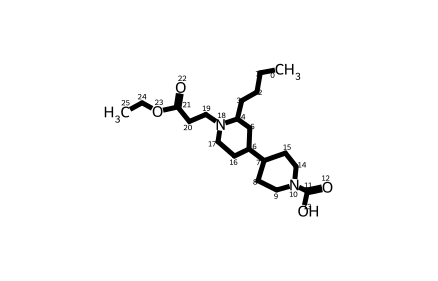 CCCCC1CC(C2CCN(C(=O)O)CC2)CCN1CCC(=O)OCC